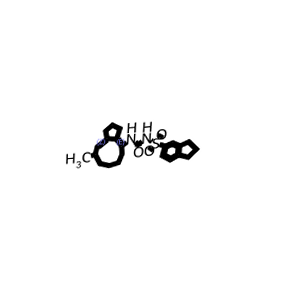 CC1/C=C2/CCC/C2=C(\NC(=O)NS(=O)(=O)c2ccc3c(c2)CCC3)CCCC1